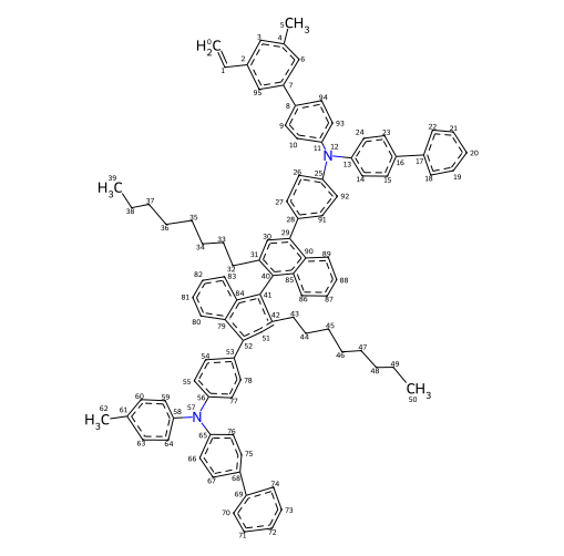 C=Cc1cc(C)cc(-c2ccc(N(c3ccc(-c4ccccc4)cc3)c3ccc(-c4cc(CCCCCCCC)c(-c5c(CCCCCCCC)cc(-c6ccc(N(c7ccc(C)cc7)c7ccc(-c8ccccc8)cc7)cc6)c6ccccc56)c5ccccc45)cc3)cc2)c1